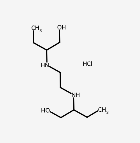 CCC(CO)NCCNC(CC)CO.Cl